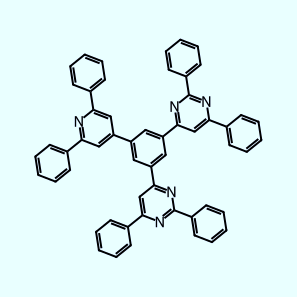 c1ccc(-c2cc(-c3cc(-c4cc(-c5ccccc5)nc(-c5ccccc5)n4)cc(-c4cc(-c5ccccc5)nc(-c5ccccc5)n4)c3)cc(-c3ccccc3)n2)cc1